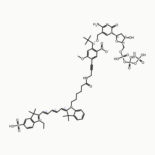 CC[N+]1=C(/C=C/C=C/C=C2/N(CCCCCC(=O)NCC#Cc3cc([N+](=O)[O-])c([C@@H](OCc4cn([C@H]5C[C@@H](O)[C@@H](COP(=O)(O)OP(=O)(O)OP(=O)(O)O)O5)c(=O)nc4N)C(C)(C)C)cc3OC)c3ccccc3C2(C)C)C(C)(C)c2cc(S(=O)(=O)O)ccc21